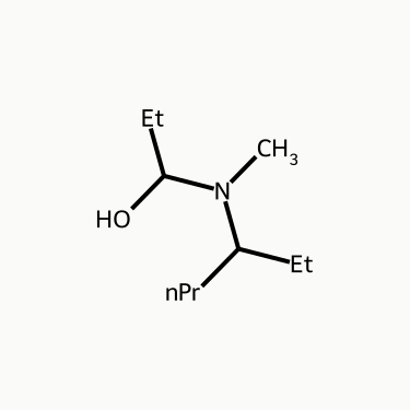 CCCC(CC)N(C)C(O)CC